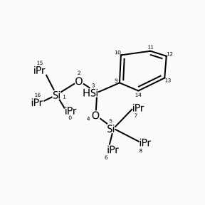 CC(C)[Si](O[SiH](O[Si](C(C)C)(C(C)C)C(C)C)c1ccccc1)(C(C)C)C(C)C